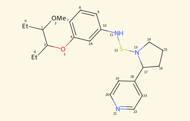 CCC(OC)C(CC)Oc1cccc(NSN2CCCC2c2ccncc2)c1